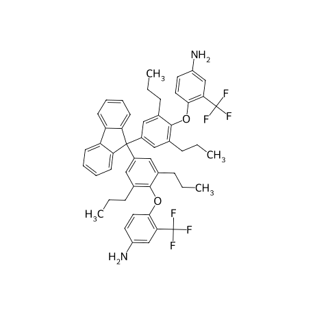 CCCc1cc(C2(c3cc(CCC)c(Oc4ccc(N)cc4C(F)(F)F)c(CCC)c3)c3ccccc3-c3ccccc32)cc(CCC)c1Oc1ccc(N)cc1C(F)(F)F